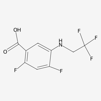 O=C(O)c1cc(NCC(F)(F)F)c(F)cc1F